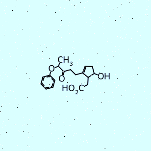 CC(Oc1ccccc1)C(=O)CCC1=CCC(O)C1CC(=O)O